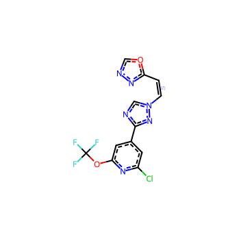 FC(F)(F)Oc1cc(-c2ncn(/C=C\c3nnco3)n2)cc(Cl)n1